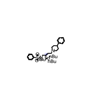 CCC[CH2][Sn]([CH2]CCC)([CH2]CCC)/[C](=C\CN1CCC(c2ccccc2)CC1)CN(C)S(=O)(=O)c1ccccc1